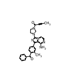 CC#CC(=O)N1CCN(c2nc(-c3ccc(C(=O)c4ccccc4)c(C)c3)c3c(N)nccn23)C1